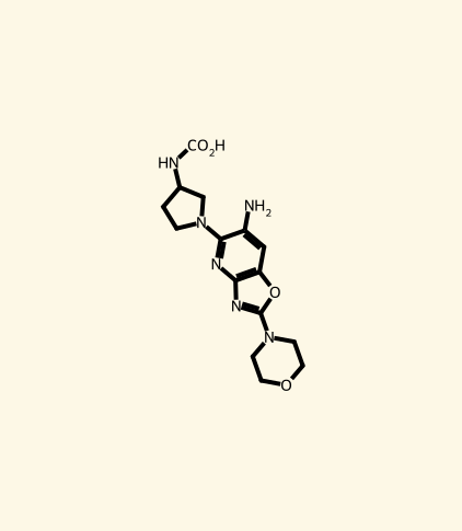 Nc1cc2oc(N3CCOCC3)nc2nc1N1CCC(NC(=O)O)C1